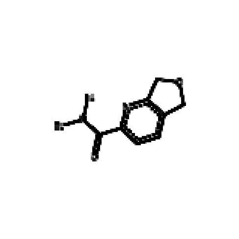 CCN(CC)C(=O)c1ccc2c(n1)COC2